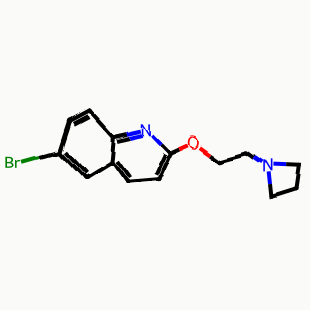 Brc1ccc2nc(OCCN3CCC3)ccc2c1